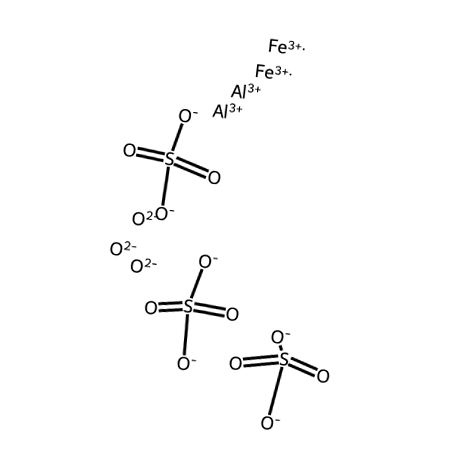 O=S(=O)([O-])[O-].O=S(=O)([O-])[O-].O=S(=O)([O-])[O-].[Al+3].[Al+3].[Fe+3].[Fe+3].[O-2].[O-2].[O-2]